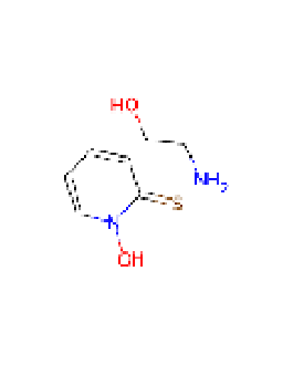 NCCO.On1ccccc1=S